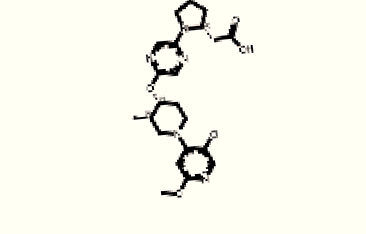 COc1cc(N2CC[C@@H](Oc3cnc(N4CCC[C@@H]4CC(=O)O)cn3)[C@H](C)C2)c(Cl)cn1